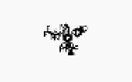 O=S(=O)(NC1(CF)CC1)c1cc(N2CCC3(CC2)COC3)c2c(c1)n(-c1nnc(C(F)F)s1)c1nccn21